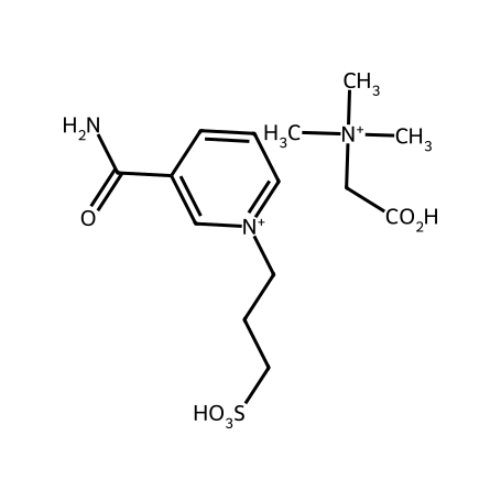 C[N+](C)(C)CC(=O)O.NC(=O)c1ccc[n+](CCCS(=O)(=O)O)c1